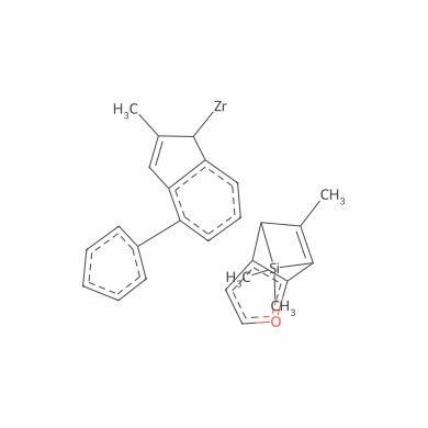 CC1=C2c3occc3C1[Si]2(C)C.CC1=Cc2c(-c3ccccc3)cccc2[CH]1[Zr]